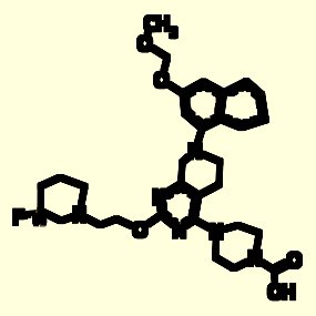 COCOc1cc(N2CCc3c(nc(OCCN4CCC[C@@H](F)C4)nc3N3CCN(C(=O)O)CC3)C2)c2ccccc2c1